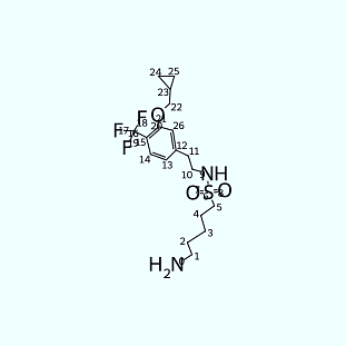 NCCCCCS(=O)(=O)NCCc1ccc(C(F)(F)F)c(OCC2CC2)c1